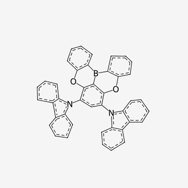 c1ccc2c(c1)Oc1c(-n3c4ccccc4c4ccccc43)cc(-n3c4ccccc4c4ccccc43)c3c1B2c1ccccc1O3